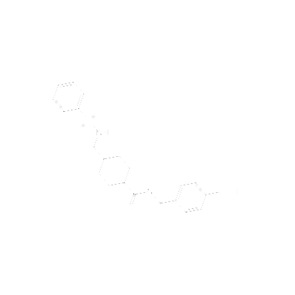 O=C(O)c1ccc(CNC(=O)C2CCC(CNS(=O)(=O)c3ccccc3)CC2)cc1